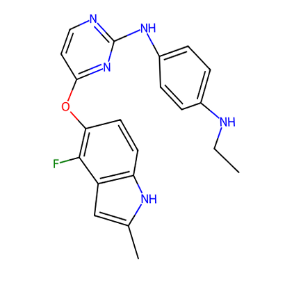 CCNc1ccc(Nc2nccc(Oc3ccc4[nH]c(C)cc4c3F)n2)cc1